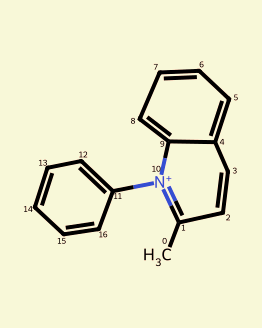 Cc1ccc2ccccc2[n+]1-c1ccccc1